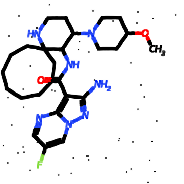 COC1CCN(C2CCNC3(CCCCCCCC3)C2NC(=O)c2c(N)nn3cc(F)cnc23)CC1